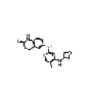 Cc1cnc(Nc2ccc3c(c2)CCC(=O)N3)nc1NC1COC1